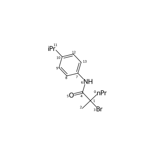 CCCC(C)(Br)C(=O)Nc1ccc(C(C)C)cc1